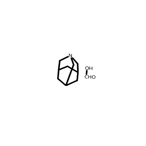 C1C2CC3CC1CN(C2)C3.O=CO